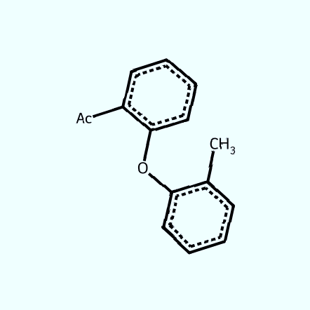 CC(=O)c1ccccc1Oc1ccccc1C